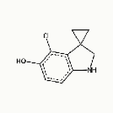 Oc1ccc2c(c1Cl)C1(CC1)CN2